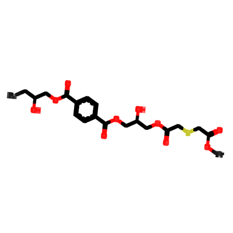 CCC(C)CC(O)COC(=O)c1ccc(C(=O)OCC(O)COC(=O)CSCC(=O)OC(C)C)cc1